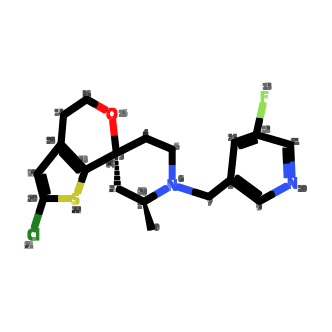 C[C@H]1C[C@@]2(CCN1Cc1cncc(F)c1)OCCc1cc(Cl)sc12